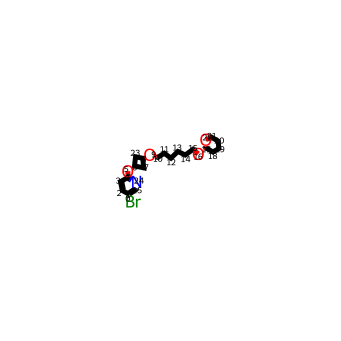 Brc1ccc(O[C@H]2C[C@H](OCCCCCCOC3CCCCO3)C2)nc1